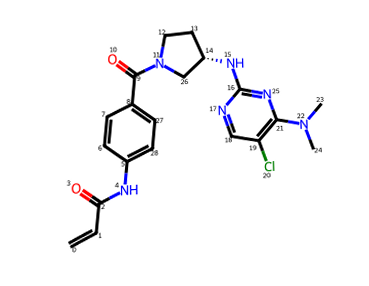 C=CC(=O)Nc1ccc(C(=O)N2CC[C@H](Nc3ncc(Cl)c(N(C)C)n3)C2)cc1